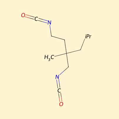 CC(C)CC(C)(CCN=C=O)CN=C=O